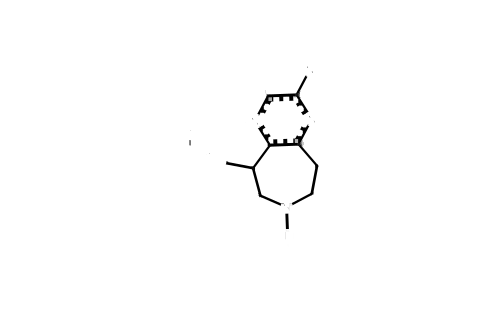 CCN1CCc2nc(N)cnc2C(C)C1.Cl.Cl